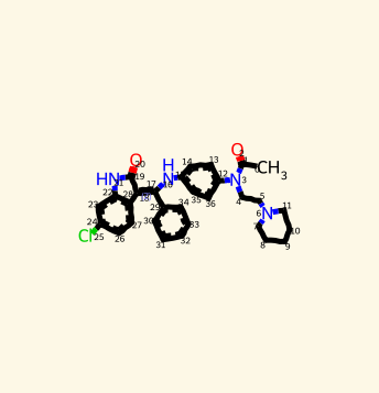 CC(=O)N(CCN1CCCCC1)c1ccc(N/C(=C2\C(=O)Nc3cc(Cl)ccc32)c2ccccc2)cc1